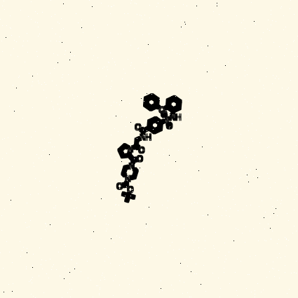 CC(C)(C)OC(=O)N1CCN(C(=O)C2CCCN2C(=O)CNC(=O)c2ccc(S(=O)(=O)Nc3ccccc3Oc3ccccc3)cc2)CC1